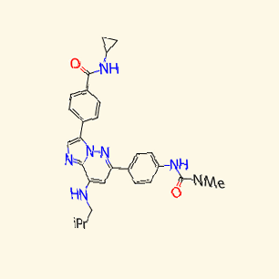 CNC(=O)Nc1ccc(-c2cc(NCC(C)C)c3ncc(-c4ccc(C(=O)NC5CC5)cc4)n3n2)cc1